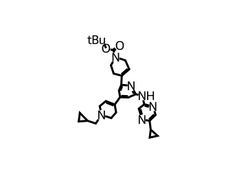 CC(C)(C)OC(=O)N1CC=C(c2cc(C3=CCN(CC4CC4)CC3)cc(Nc3cnc(C4CC4)cn3)n2)CC1